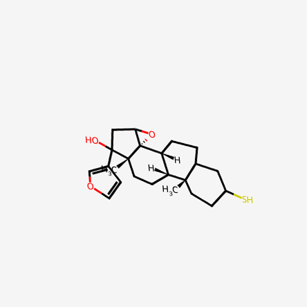 C[C@]12CCC(S)CC1CC[C@@H]1[C@H]2CC[C@]2(C)C(O)(c3ccoc3)CC3O[C@]312